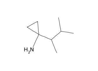 CC(C)C(C)C1(N)CC1